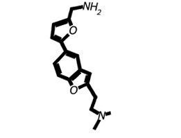 CN(C)CCc1cc2cc(-c3ccc(CN)o3)ccc2o1